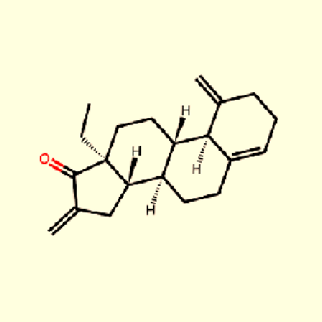 C=C1C[C@H]2[C@@H]3CCC4=CCCC(=C)[C@@H]4[C@H]3CC[C@]2(CC)C1=O